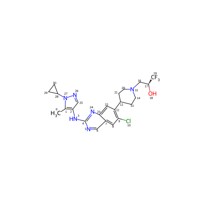 Cc1c(Nc2ncc3cc(Cl)c(C4CCN(C[C@H](O)C(F)(F)F)CC4)cc3n2)cnn1C1CC1